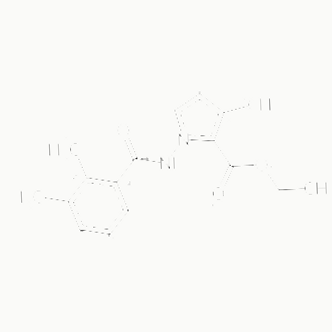 CCOC(=O)c1c(C)ccn1NC(=O)c1cccc(C)c1C